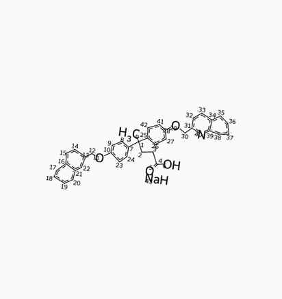 CC(CCC(=O)O)(c1ccc(OCc2ccc3ccccc3c2)cc1)c1ccc(OCc2ccc3ccccc3n2)cc1.[NaH]